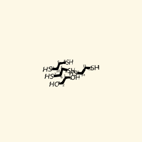 OCCO.SCCS.SCCS.SCCS